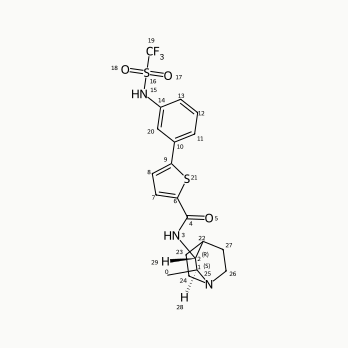 C[C@H]1[C@H](NC(=O)c2ccc(-c3cccc(NS(=O)(=O)C(F)(F)F)c3)s2)C2CCN1CC2